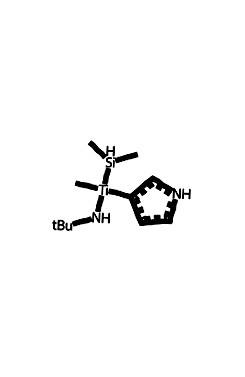 C[SiH](C)[Ti]([CH3])([NH]C(C)(C)C)[c]1cc[nH]c1